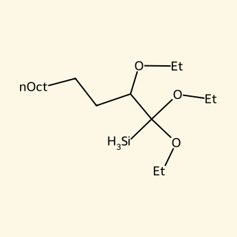 CCCCCCCCCCC(OCC)C([SiH3])(OCC)OCC